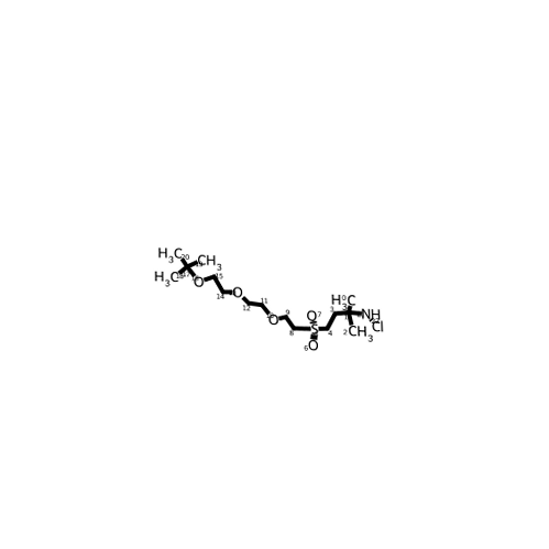 CC(C)(CCS(=O)(=O)CCOCCOCCOC(C)(C)C)NCl